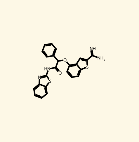 N=C(N)c1cc2c(OC(C(=O)Nc3nc4ccccc4s3)c3ccccc3)cccc2s1